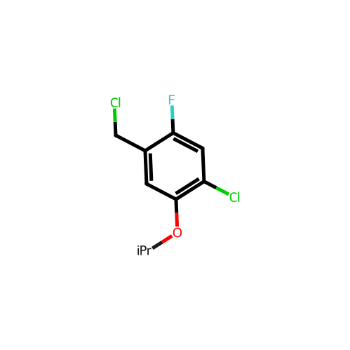 CC(C)Oc1cc(CCl)c(F)cc1Cl